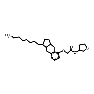 CCCCCCCCC1CCC2Cc3c(cccc3OCC(=O)OC3CCOC3)CC12